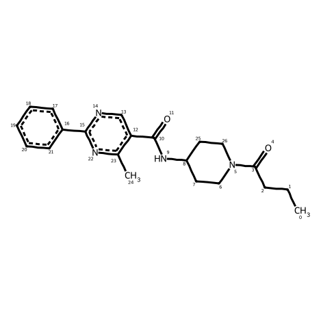 CCCC(=O)N1CCC(NC(=O)c2cnc(-c3ccccc3)nc2C)CC1